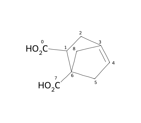 O=C(O)C1CC2=CCC1(C(=O)O)C2